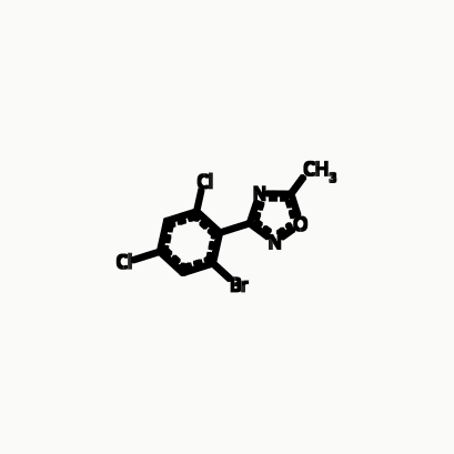 Cc1nc(-c2c(Cl)cc(Cl)cc2Br)no1